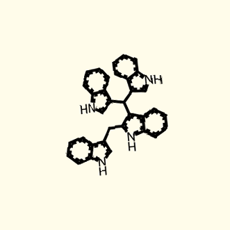 c1ccc2c(Cc3[nH]c4ccccc4c3C(c3c[nH]c4ccccc34)c3c[nH]c4ccccc34)c[nH]c2c1